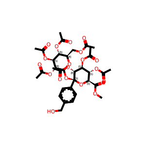 COC(=O)[C@H]1O[C@](OC2O[C@H](COC(C)=O)[C@@H](OC(C)=O)[C@H](OC(C)=O)[C@H]2OC(C)=O)(c2ccc(CO)cc2)[C@H](OC(C)=O)[C@@H](OC(C)=O)[C@@H]1OC(C)=O